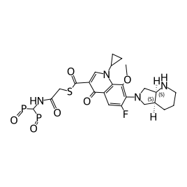 COc1c(N2C[C@@H]3CCCN[C@@H]3C2)c(F)cc2c(=O)c(C(=O)SCC(=O)NC(P=O)P=O)cn(C3CC3)c12